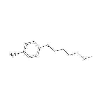 CSCCCCSc1ccc(N)cc1